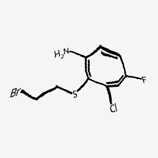 Nc1ccc(F)c(Cl)c1SCCBr